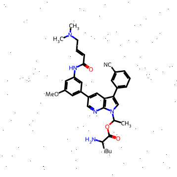 CCC(C)C(N)C(=O)OC(C)n1cc(-c2cccc(C#N)c2)c2cc(-c3cc(NC(=O)/C=C/CN(C)C)cc(OC)c3)cnc21